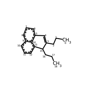 CCCC1=Cc2cccc3cccc(c23)C1CCC